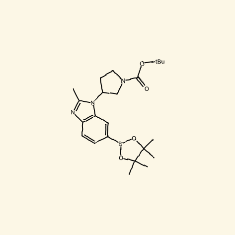 Cc1nc2ccc(B3OC(C)(C)C(C)(C)O3)cc2n1C1CCN(C(=O)OC(C)(C)C)C1